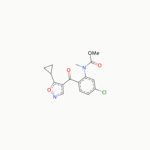 COC(=O)N(C)c1cc(Cl)ccc1C(=O)c1cnoc1C1CC1